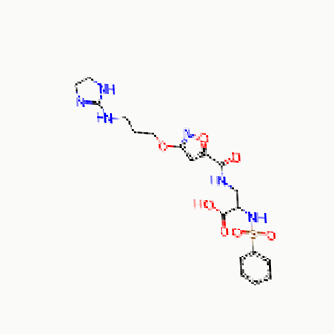 O=C(NCC(NS(=O)(=O)c1ccccc1)C(=O)O)c1cc(OCCCNC2=NCCN2)no1